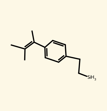 CC(C)=C(C)c1ccc(CC[SiH3])cc1